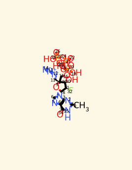 Cc1nc2c(ncn2[C@@H]2O[C@](CN=[N+]=[N-])(COP(=O)(O)OP(=O)(O)OP(=O)(O)O)[C@@H](O)[C@H]2F)c(=O)[nH]1